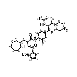 CCC(=O)N[C@@H](C(=O)N1CCN(C)CC1)[C@@H](C)c1ccc(NC(=O)[C@H](CC2CCCCCC2)NC(=O)c2cccn2CC)c(F)c1